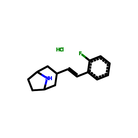 Cl.Fc1ccccc1C=CC1CC2CCC(C1)N2